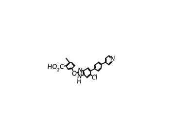 Cc1ccc(Oc2nc3cc(-c4ccc(-c5ccncc5)cc4)c(Cl)cc3[nH]2)cc1C(=O)O